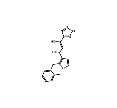 O=C(C=C(O)c1nn[nH]n1)c1ccoc1Cc1ccccc1F